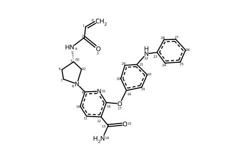 C=CC(=O)N[C@H]1CCN(c2ccc(C(N)=O)c(Oc3ccc(Nc4ccccc4)cc3)n2)C1